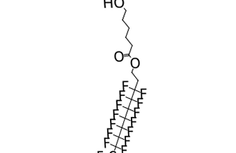 O=C(CCCCCO)OCCC(F)(F)C(F)(F)C(F)(F)C(F)(F)C(F)(F)C(F)(F)C(F)(F)C(F)(F)F